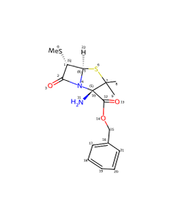 CS[C@H]1C(=O)N2[C@@H]1SC(C)(C)[C@]2(N)C(=O)OCc1ccccc1